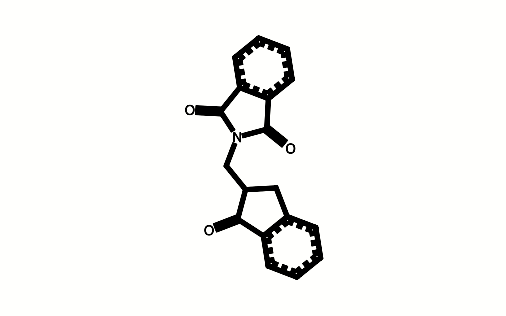 O=C1c2ccccc2CC1CN1C(=O)c2ccccc2C1=O